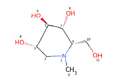 CN1C[C@H](O)[C@@H](O)[C@H](O)[C@@H]1CO